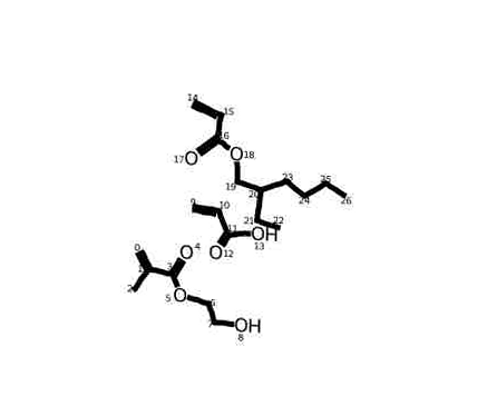 C=C(C)C(=O)OCCO.C=CC(=O)O.C=CC(=O)OCC(CC)CCCC